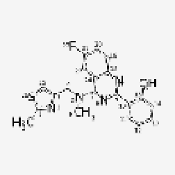 Cc1nc(CN(C)c2nc(-c3ccccc3O)nc3ccc(F)cc23)cs1